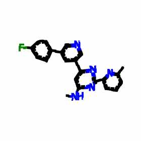 CNc1cc(-c2cncc(-c3ccc(F)cc3)c2)nc(-c2cccc(C)n2)n1